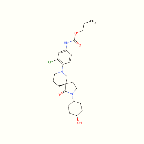 CCCOC(=O)Nc1ccc(N2CCC[C@]3(CCN([C@H]4CC[C@H](O)CC4)C3=O)C2)c(Cl)c1